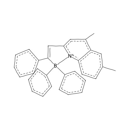 Cc1ccc2c(c1)c(C)cc1[n+]2[B-](c2ccccc2)(c2ccccc2)C(c2ccccc2)=C1